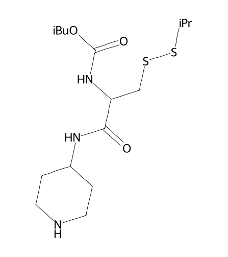 CC(C)COC(=O)NC(CSSC(C)C)C(=O)NC1CCNCC1